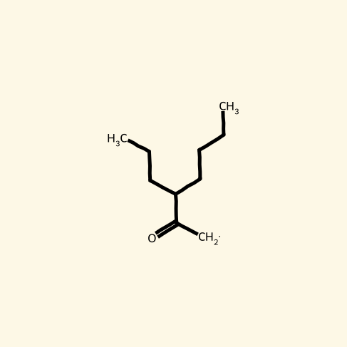 [CH2]C(=O)C(CCC)CCCC